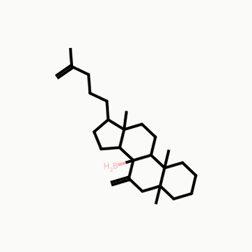 BC12C(=C)CC3(C)CCCCC3(C)C1CCC1(C)C(CCCC(=C)C)CCC12